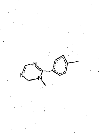 Cc1ccc(C2=NC=NCN2C)cc1